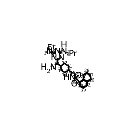 CCN(C)c1nc(NC(C)C)nc(C(N)C2CCC(CNS(=O)(=O)c3cccc4ccccc34)CC2)n1